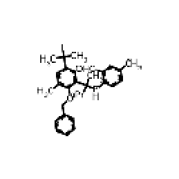 CCCC(C)(Pc1ccc(C)cc1C=O)c1cc(C(C)(C)I)cc(C)c1OCc1ccccc1